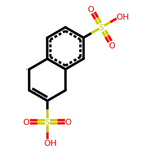 O=S(=O)(O)C1=C[CH]c2ccc(S(=O)(=O)O)cc2C1